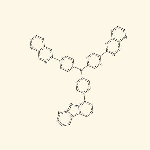 c1cnc2cnc(-c3ccc(N(c4ccc(-c5cc6cccnc6cn5)cc4)c4ccc(-c5cccc6c5oc5ncccc56)cc4)cc3)cc2c1